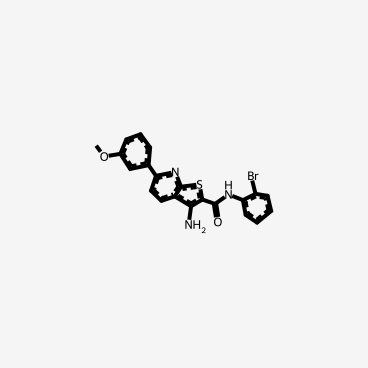 COc1cccc(-c2ccc3c(N)c(C(=O)Nc4ccccc4Br)sc3n2)c1